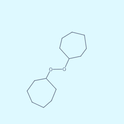 C1CCCC(OOC2CCCCCC2)CC1